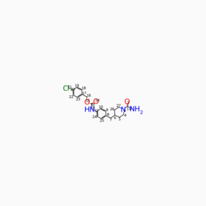 NC(=O)N1CCC(Cc2ccc(NC(=O)OCc3ccc(Cl)cc3)cc2)CC1